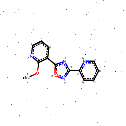 CCCCOc1ncccc1-c1nc(-c2ccccn2)no1